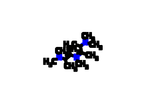 CC(C(C)N(C)C(C)C(C)N(C)C)N(C)C